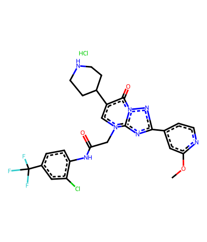 COc1cc(-c2nc3n(CC(=O)Nc4ccc(C(F)(F)F)cc4Cl)cc(C4CCNCC4)c(=O)n3n2)ccn1.Cl